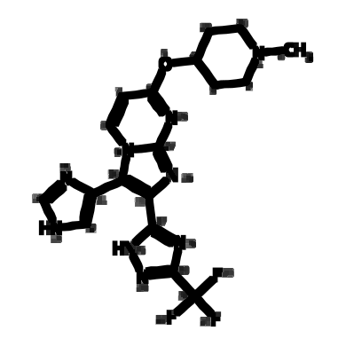 CN1CCC(Oc2ccn3c(-c4c[nH]cn4)c(-c4nc(C(F)(F)F)n[nH]4)nc3n2)CC1